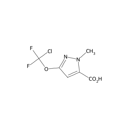 Cn1nc(OC(F)(F)Cl)cc1C(=O)O